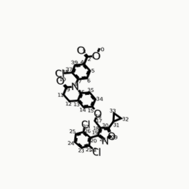 COC(=O)c1ccc(N2C(=O)CCc3cc(OCc4c(-c5c(Cl)cccc5Cl)noc4C4CC4)ccc32)c(Cl)c1